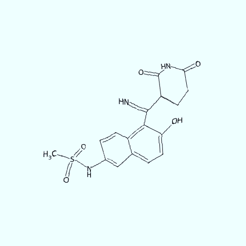 CS(=O)(=O)Nc1ccc2c(C(=N)C3CCC(=O)NC3=O)c(O)ccc2c1